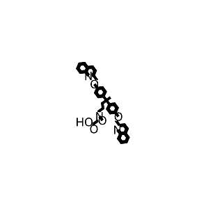 CC(CCCN1OC1C(=O)O)(c1ccc(OCc2ccc3ccccc3n2)cc1)c1ccc(OCc2ccc3ccccc3n2)cc1